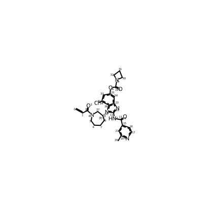 C=CC(=O)N1CCCC[C@@H](n2c(NC(=O)c3ccnc(C)c3)nc3cc(OC(=O)N4CCC4)cc(Cl)c32)C1